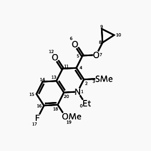 CCn1c(SC)c(C(=O)OC2CC2)c(=O)c2ccc(F)c(OC)c21